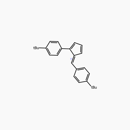 CC(C)(C)c1ccc(/C=C2\C=CC=C2c2ccc(C(C)(C)C)cc2)cc1